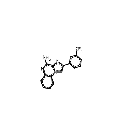 Nc1nc2ccccc2n2cc(-c3cccc(C(F)(F)F)c3)nc12